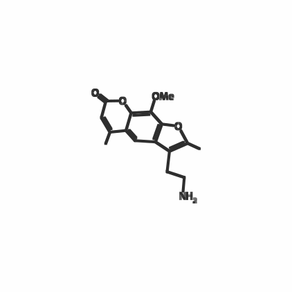 COc1c2oc(=O)cc(C)c2cc2c(CCN)c(C)oc12